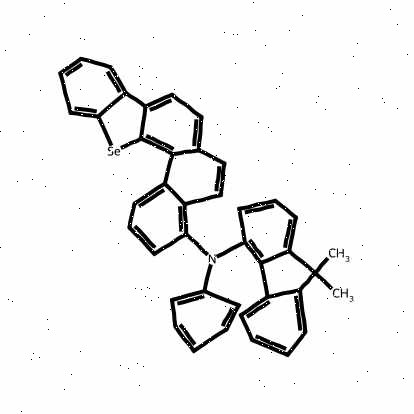 CC1(C)c2ccccc2-c2c(N(c3ccccc3)c3cccc4c3ccc3ccc5c6ccccc6[se]c5c34)cccc21